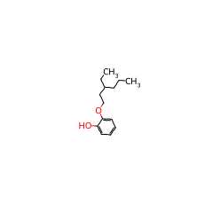 CCCC(CC)CCOc1ccccc1O